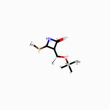 CC(=O)SC1NC(=O)C1[C@@H](C)O[Si](C)(C)C(C)(C)C